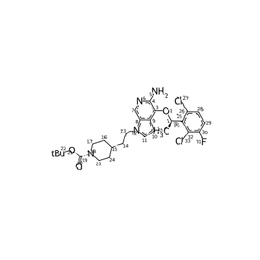 C[C@@H](Oc1c(N)ncc2c1ccn2CCC1CCN(C(=O)OC(C)(C)C)CC1)c1c(Cl)ccc(F)c1Cl